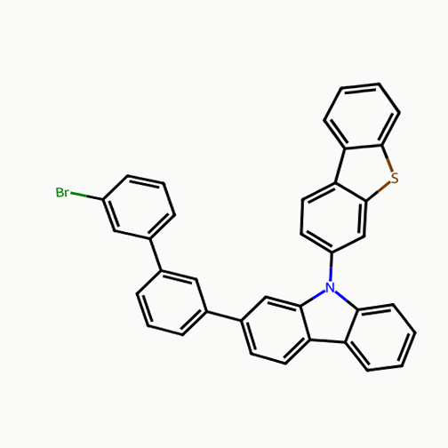 Brc1cccc(-c2cccc(-c3ccc4c5ccccc5n(-c5ccc6c(c5)sc5ccccc56)c4c3)c2)c1